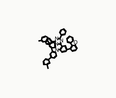 Cc1cccc(-c2ccc3c(c2)c2cc(-c4cccc(C)c4)ccc2n3-c2ccc(-c3cccc4oc5ccccc5c34)cc2-c2nc(-c3ccccc3)nc(-c3ccccc3)n2)c1